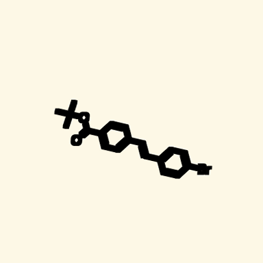 CC(C)(C)OC(=O)c1ccc(C=Cc2ccc(Br)cc2)cc1